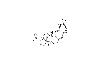 CC(=O)[C@H]1CC[C@H]2[C@@H]3CCC4=CC(=O)C(OC(=O)C(C)C)=C[C@]4(C)[C@H]3CC[C@]12C